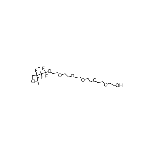 CCC(F)(F)C(F)(F)C(F)(F)OCCOCCOCCOCCOCCOCCO